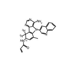 [2H]C1([2H])c2c(n(-c3cnc4ccccc4c3)c3c(N)ncnc23)C(C)=C[C@H]1NC(=O)C=C